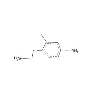 Cc1cc(N)ccc1CC[SiH3]